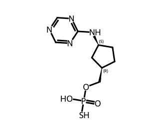 O=P(O)(S)OC[C@@H]1CC[C@H](Nc2ncncn2)C1